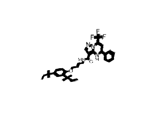 CCC(C)(C)c1ccc(OCCCCNC(=O)c2cnn3c2NC(c2ccccc2)CC3C(F)(F)F)c(C(C)(C)CC)c1